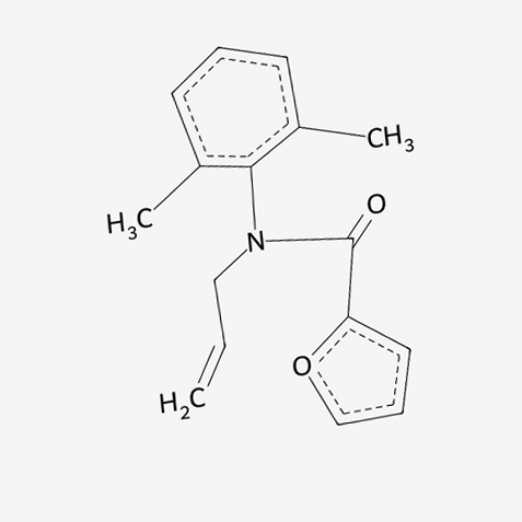 C=CCN(C(=O)c1ccco1)c1c(C)cccc1C